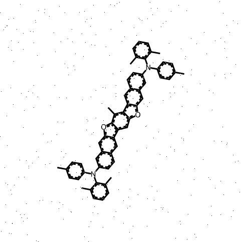 Cc1ccc(N(c2ccc3cc4c(cc3c2)oc2c(C)c3c(cc24)oc2cc4cc(N(c5ccc(C)cc5)c5c(C)cccc5C)ccc4cc23)c2c(C)cccc2C)cc1